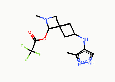 Cc1n[nH]cc1NC1CC2(C1)CN(C)C2OC(=O)C(F)(F)F